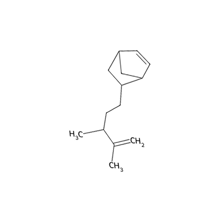 C=C(C)C(C)CCC1CC2C=CC1C2